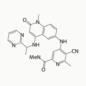 CNC(=O)c1cc(Nc2ccc3c(c2)c(NC(C)c2ncccn2)cc(=O)n3C)c(C#N)c(C)n1